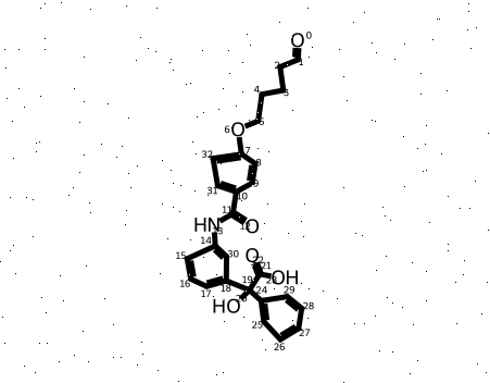 O=CCCCCOc1ccc(C(=O)Nc2cccc(C(O)(C(=O)O)c3ccccc3)c2)cc1